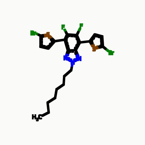 CCCCCCCCn1nc2c(-c3ccc(Br)s3)c(F)c(F)c(-c3ccc(Br)s3)c2n1